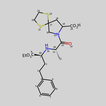 CCOC(=O)[C@H](CCc1ccccc1)N[C@@H](C)C(=O)N1CC2(CC1C(=O)O)SCCS2